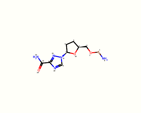 NSOC[C@@H]1CC[C@H](n2cnc(C(N)=O)n2)O1